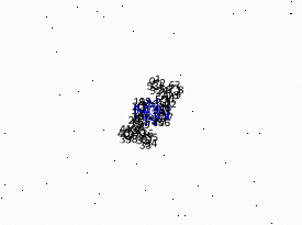 c1ccc(C2c3ccccc3-c3ccc(/C4=N/c5cccnc5/C(c5ccc6c(c5)C(c5ccccc5)c5ccccc5-6)=N\c5cccnc54)cc32)cc1